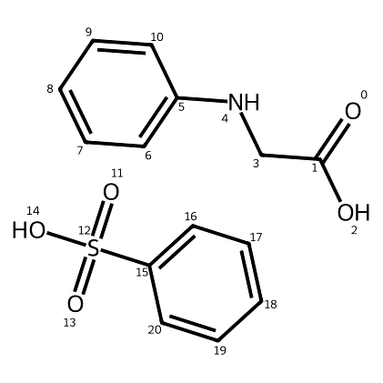 O=C(O)CNc1ccccc1.O=S(=O)(O)c1ccccc1